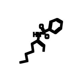 CC=C(CCCCC)NS(=O)(=O)c1ccccc1